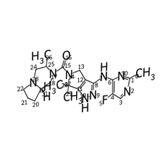 Cc1ncc(F)c(Nc2n[nH]c3c2CN(C(=O)N2C[C@@H]4CCCN4CC2C)C3(C)C)n1